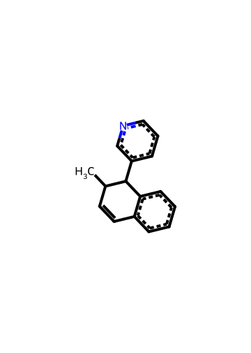 CC1C=Cc2ccccc2C1c1cccnc1